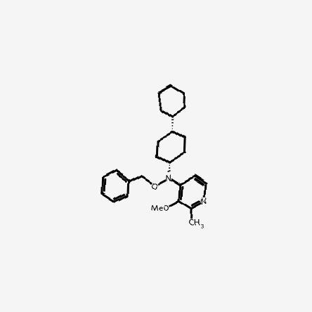 COc1c(N(OCc2ccccc2)[C@H]2CC[C@@H](C3CCCCC3)CC2)ccnc1C